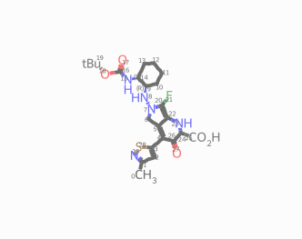 Cc1cc(C2=C3CN(N[C@@H]4CCCC[C@@H]4NC(=O)OC(C)(C)C)C(F)=C3NC(C(=O)O)C2=O)sn1